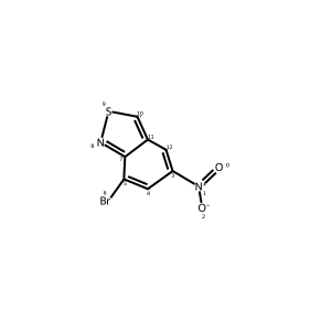 O=[N+]([O-])c1cc(Br)c2ns[c]c2c1